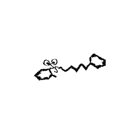 Cc1ccccc1S(=O)(=O)SCCCCCCc1ccccc1